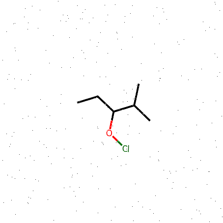 CCC(OCl)C(C)C